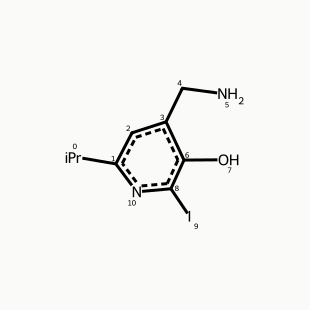 CC(C)c1cc(CN)c(O)c(I)n1